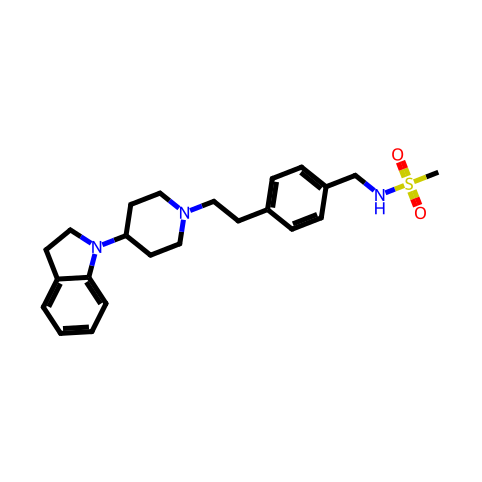 CS(=O)(=O)NCc1ccc(CCN2CCC(N3CCc4ccccc43)CC2)cc1